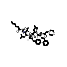 CCCCCC(=O)N/N=C(/[C@H](CC(C)C)NC(=O)[C@H](Cc1ccccc1)NC(=O)C(CC(C)C)NC(=O)[C@H](CCc1ccccc1)NC(=O)CN1CCOCC1)[C@@]1(C)CO1